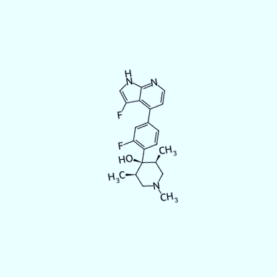 C[C@@H]1CN(C)C[C@H](C)[C@@]1(O)c1ccc(-c2ccnc3[nH]cc(F)c23)cc1F